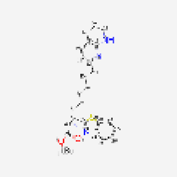 CC(C)(C)OC(=O)/C=C(/CCCCCCc1ccc2c(n1)NCCC2)c1nc2ccccc2s1